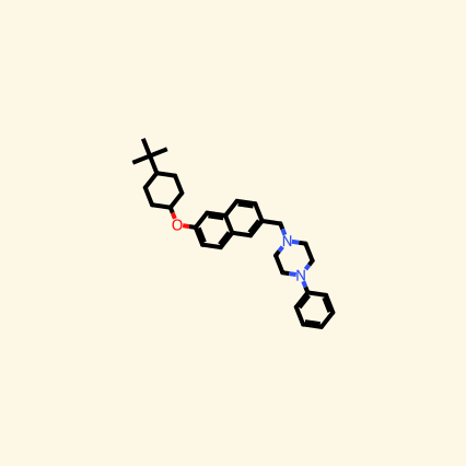 CC(C)(C)C1CCC(Oc2ccc3cc(CN4CCN(c5ccccc5)CC4)ccc3c2)CC1